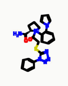 NC(=O)[C@@H]1CCC[N+]1(C(=O)CSc1nnnn1-c1ccccc1)c1ccccc1-n1cccc1